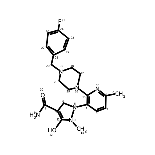 Cc1ccc(N2CC(C(N)=O)=C(O)N2C)c(N2CCN(Cc3ccc(F)cc3)CC2)n1